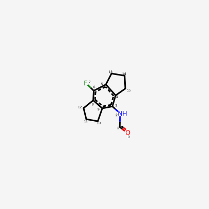 O=CNc1c2c(c(F)c3c1CCC3)CCC2